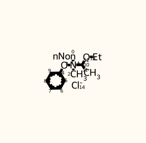 CCCCCCCCC[N+](C)(Oc1ccccc1)C(C)OCC.[Cl-]